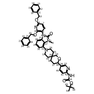 Cn1c(=O)n(-c2ccc(OCc3ccccc3)nc2OCc2ccccc2)c2cccc(N3CCC4(CCC(c5ccc(NC(=O)OC(C)(C)C)nc5)OC4)CC3)c21